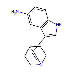 Nc1ccc2[nH]cc(C3=CN4CCC3CC4)c2c1